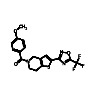 COc1ccc(C(=O)N2CCc3sc(-c4noc(C(F)(F)F)n4)cc3C2)cc1